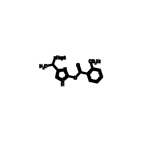 CCCCCCCC(C)c1c[nH]c(OC(=O)c2ccccc2C(=O)OCC)n1